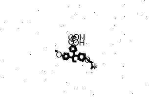 CCOc1ccc(C(CC)=C(c2ccc(OCCN(C)C)cc2)c2ccc(OP(=O)(O)O)cc2)cc1